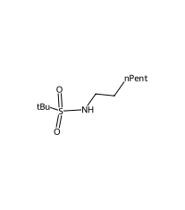 CCCCCCCNS(=O)(=O)C(C)(C)C